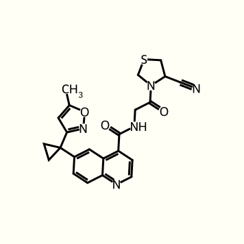 Cc1cc(C2(c3ccc4nccc(C(=O)NCC(=O)N5CSCC5C#N)c4c3)CC2)no1